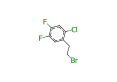 Fc1cc(Cl)c(CCBr)cc1F